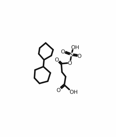 C1CCC(C2CCCCC2)CC1.O=C(O)CCC(=O)OS(=O)(=O)O